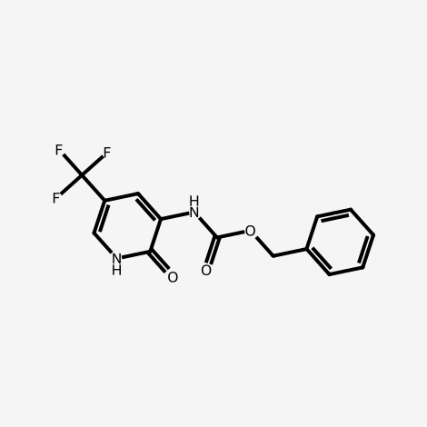 O=C(Nc1cc(C(F)(F)F)c[nH]c1=O)OCc1ccccc1